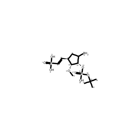 BC1C[C@H](/C=C/P(=O)(O)O)[C@@H](OC)[C@H]1OP(O)(=S)OC(C)(C)C